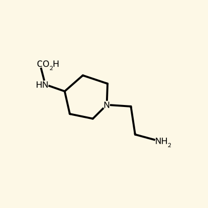 NCCN1CCC(NC(=O)O)CC1